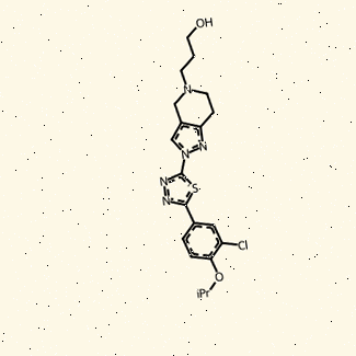 CC(C)Oc1ccc(-c2nnc(-n3cc4c(n3)CCN(CCCO)C4)s2)cc1Cl